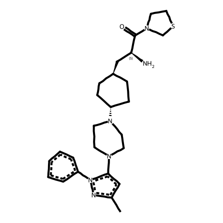 Cc1cc(N2CCN([C@H]3CC[C@H](C[C@H](N)C(=O)N4CCSC4)CC3)CC2)n(-c2ccccc2)n1